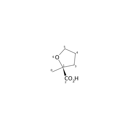 C[C@@]1(C(=O)O)CCCO1